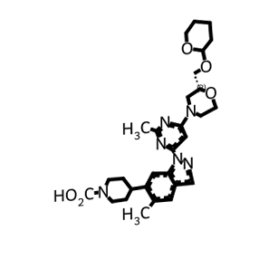 Cc1nc(N2CCO[C@@H](COC3CCCCO3)C2)cc(-n2ncc3cc(C)c(C4CCN(C(=O)O)CC4)cc32)n1